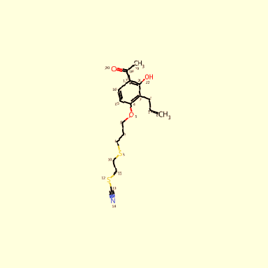 CCCc1c(OCCCSCCSC#N)ccc(C(C)=O)c1O